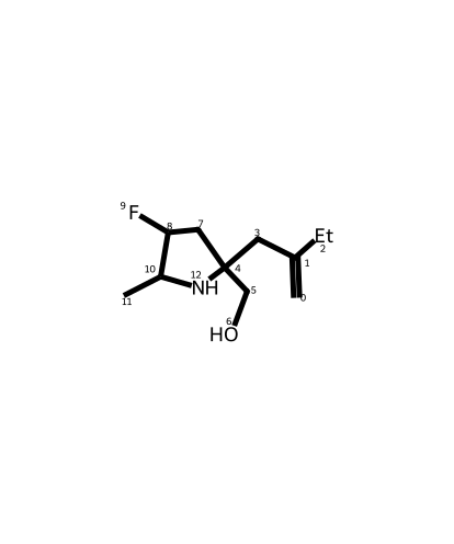 C=C(CC)CC1(CO)CC(F)C(C)N1